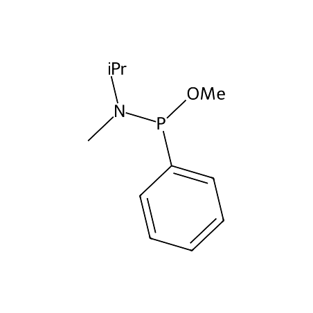 COP(c1ccccc1)N(C)C(C)C